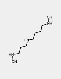 ONCCCCNCCCNO